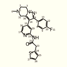 CN1CCn2nc(-c3ccc(F)cc3)c(-c3ccnc(NC(=O)Cc4cccs4)c3)c2C1